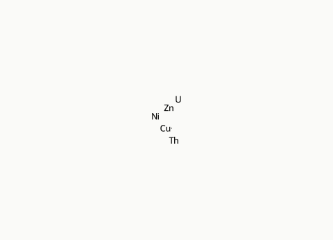 [Cu].[Ni].[Th].[U].[Zn]